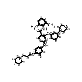 Cc1cccc(C)c1NC(=O)c1cnc(Nc2ccc(OCCCN3CCCCC3)c(F)c2)nc1Oc1cccc(N2CCOCC2)c1